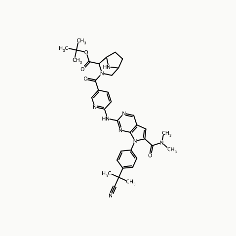 CN(C)C(=O)c1cc2cnc(Nc3ccc(C(=O)N4CC5CCC(N5)C4C(=O)OC(C)(C)C)cn3)nc2n1-c1ccc(C(C)(C)C#N)cc1